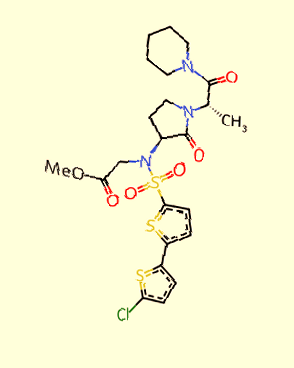 COC(=O)CN([C@H]1CCN([C@@H](C)C(=O)N2CCCCC2)C1=O)S(=O)(=O)c1ccc(-c2ccc(Cl)s2)s1